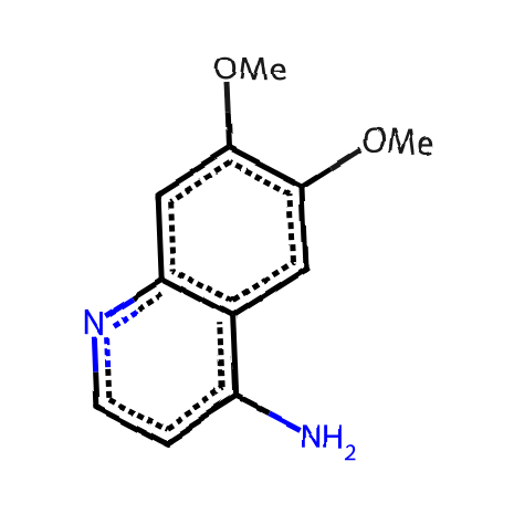 COc1cc2nccc(N)c2cc1OC